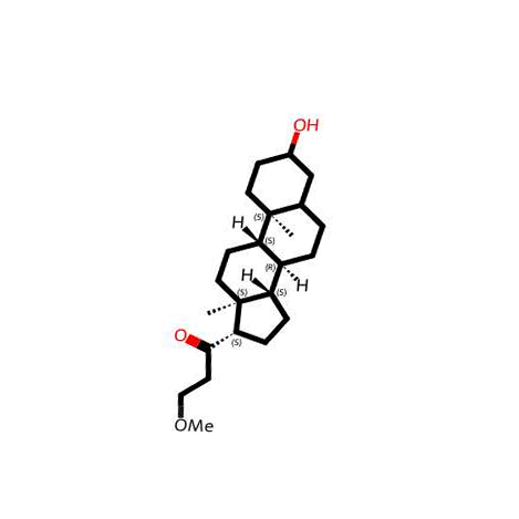 COCCC(=O)[C@H]1CC[C@H]2[C@@H]3CCC4CC(O)CC[C@]4(C)[C@H]3CC[C@]12C